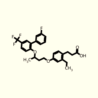 CCc1cc(OCCC(C)Oc2ccc(C(F)(F)F)cc2-c2cccc(F)c2)ccc1CCC(=O)O